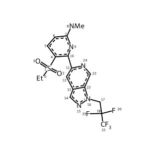 CCS(=O)(=O)c1ccc(NC)nc1-c1cc2cnn(CC(F)(F)C(F)(F)F)c2cn1